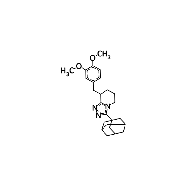 COc1ccc(CC2CCCn3c2nnc3C23CC4CC(CC(C4)C2)C3)cc1OC